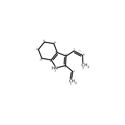 C=Cc1[nH]c2c(c1/C=C\C)CCCC2